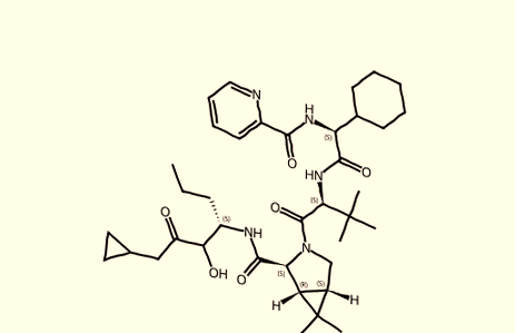 CCC[C@H](NC(=O)[C@@H]1[C@@H]2[C@H](CN1C(=O)[C@@H](NC(=O)[C@@H](NC(=O)c1ccccn1)C1CCCCC1)C(C)(C)C)C2(C)C)C(O)C(=O)CC1CC1